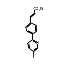 CCOC(=O)/C=C/c1ccc(-c2ccc(C)cn2)cc1